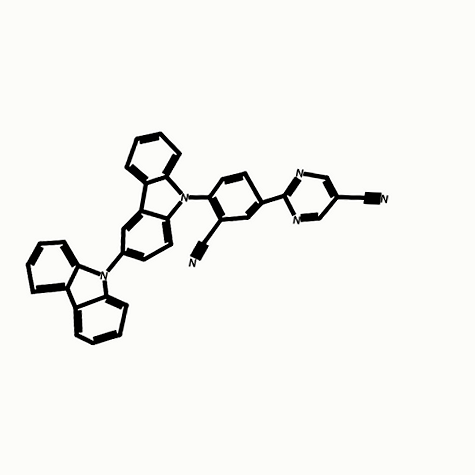 N#Cc1cnc(-c2ccc(-n3c4ccccc4c4cc(-n5c6ccccc6c6ccccc65)ccc43)c(C#N)c2)nc1